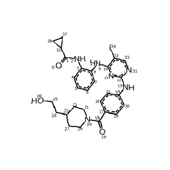 O=C(Nc1ccccc1Nc1nc(Nc2ccc(C(=O)N3CCC(CCO)CC3)cc2)ncc1I)C1CC1